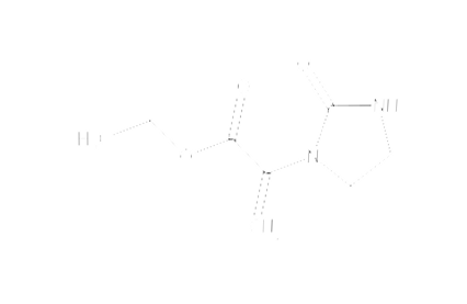 C=C(C(=O)OCC)N1CCNC1=O